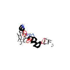 CC1(C)Oc2cc(-c3cccc(OC(F)(F)F)c3)ccc2C1NC(=O)O[C@H]1CN2CCC1CC2